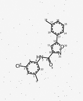 Cc1cc(Cl)cc(NC(=O)c2cc(-c3cccc(C)c3)on2)c1